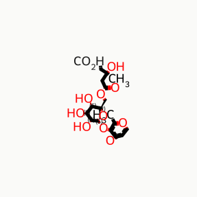 Cc1occc(=O)c1O[C@@H]1O[C@H](COC(=O)CC(C)(O)CC(=O)O)[C@@H](O)[C@H](O)[C@H]1O